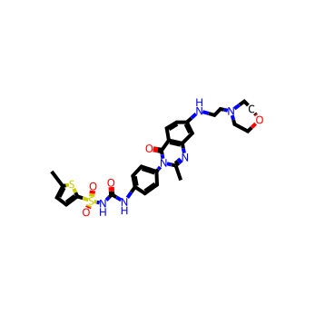 Cc1ccc(S(=O)(=O)NC(=O)Nc2ccc(-n3c(C)nc4cc(NCCN5CCOCC5)ccc4c3=O)cc2)s1